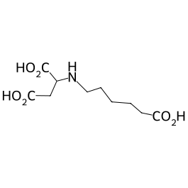 O=C(O)CCCCCNC(CC(=O)O)C(=O)O